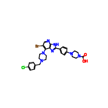 O=C(O)N1CCN(c2ccc(-c3nc4c(N5CCN(Cc6ccc(Cl)cc6)CC5)c(Br)cnc4[nH]3)cc2)CC1